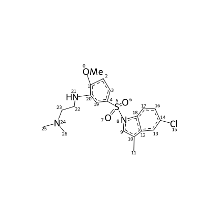 COc1ccc(S(=O)(=O)n2cc(C)c3cc(Cl)ccc32)cc1NCCN(C)C